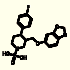 O=P(O)(O)N1CCC(c2ccc(F)cc2)C(COc2ccc3c(c2)OCO3)C1